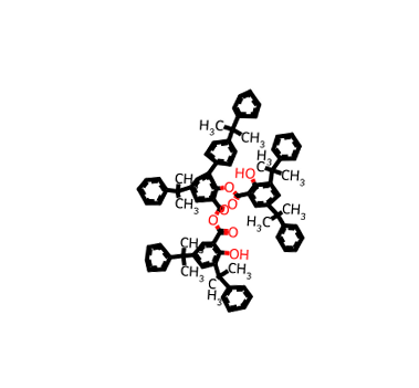 CC(C)(c1ccccc1)c1ccc(-c2cc(C(C)(C)c3ccccc3)cc(C(=O)OC(=O)c3cc(C(C)(C)c4ccccc4)cc(C(C)(C)c4ccccc4)c3O)c2OC(=O)c2cc(C(C)(C)c3ccccc3)cc(C(C)(C)c3ccccc3)c2O)cc1